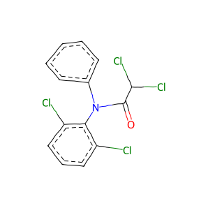 O=C(C(Cl)Cl)N(c1ccccc1)c1c(Cl)cccc1Cl